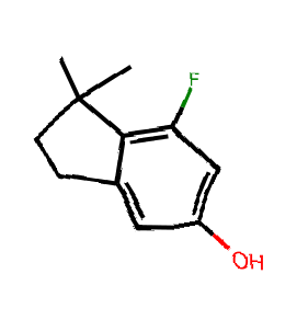 CC1(C)CCc2cc(O)cc(F)c21